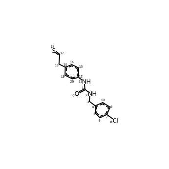 O=C(NCc1ccc(Cl)cc1)Nc1ccc(CC=S)cc1